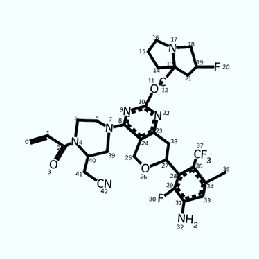 C=CC(=O)N1CCN(c2nc(OCC34CCCN3CC(F)C4)nc3c2COC(c2c(F)c(N)cc(C)c2C(F)(F)F)C3)CC1CC#N